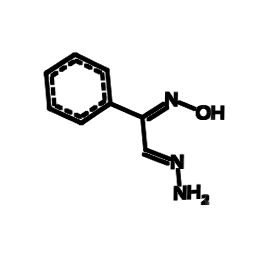 NN=CC(=NO)c1ccccc1